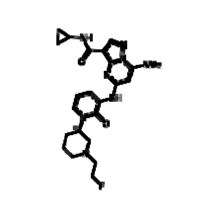 CNc1cc(Nc2cccn([C@@H]3CCCN(CCF)C3)c2=O)nc2c(C(=O)NC3CC3)cnn12